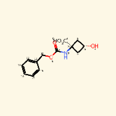 O=C(N[C@]1(C(=O)O)C[C@@H](O)C1)OCc1ccccc1